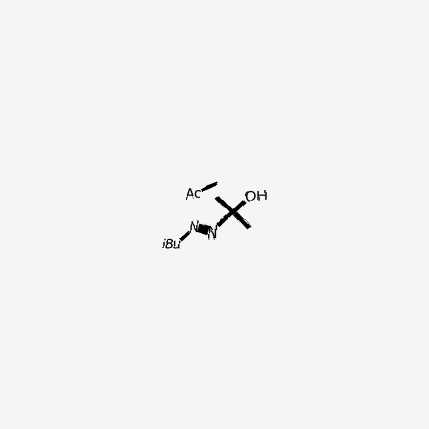 CC(C)=O.CCC(C)N=NC(C)(C)O